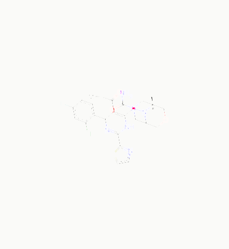 COC(=O)C1=C(CN2C3COC[C@H]2CN(C(N)=O)C3)NC(c2nccs2)=NC1c1ccc(F)cc1Cl